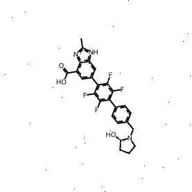 Cc1nc2c(C(=O)O)cc(-c3c(F)c(F)c(-c4ccc(CN5CCC[C@H]5O)cc4)c(F)c3F)cc2[nH]1